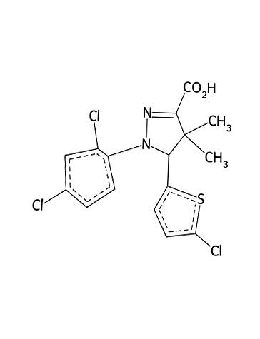 CC1(C)C(C(=O)O)=NN(c2ccc(Cl)cc2Cl)C1c1ccc(Cl)s1